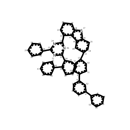 c1ccc(-c2cccc(-c3ccc(-c4ccc5sc6cccc(-c7nc(-c8ccccc8)nc(-c8ccccc8-c8ccccc8)n7)c6c5c4)cc3)c2)cc1